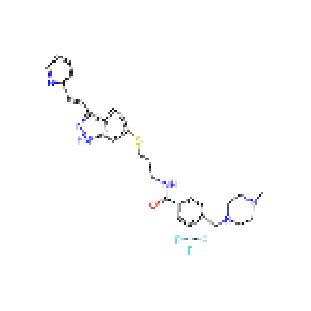 CN1CCN(Cc2ccc(C(=O)NCCCSc3ccc4c(/C=C/c5ccccn5)n[nH]c4c3)cc2C(F)(F)F)CC1